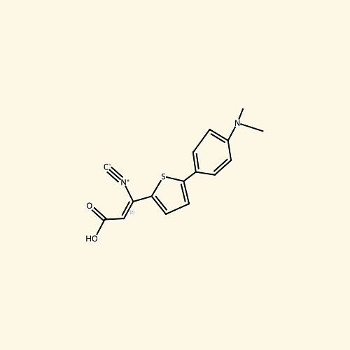 [C-]#[N+]/C(=C\C(=O)O)c1ccc(-c2ccc(N(C)C)cc2)s1